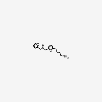 NCCSCc1ccc(CNCc2ccco2)o1